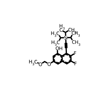 COCOc1cc(O)c2c(C#C[Si](C(C)C)(C(C)C)C(C)C)c(F)c(F)cc2c1